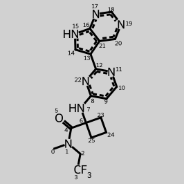 CN(CC(F)(F)F)C(=O)C1(Nc2ccnc(-c3c[nH]c4ncncc34)n2)CCC1